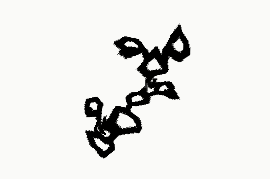 C1=CC2C3=C(CCC(C4CCC5C6=C(CCC=C6)N(C6=CCCC=C6)C5C4)=C3)N(C3=CC(C4=CCCC=C4)=CC(C4=CCCC=C4)C3)C2C=C1